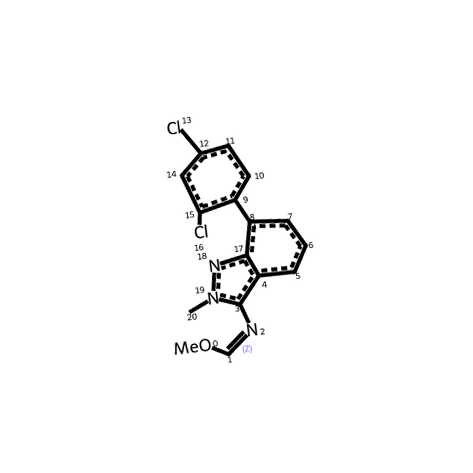 CO/C=N\c1c2cccc(-c3ccc(Cl)cc3Cl)c2nn1C